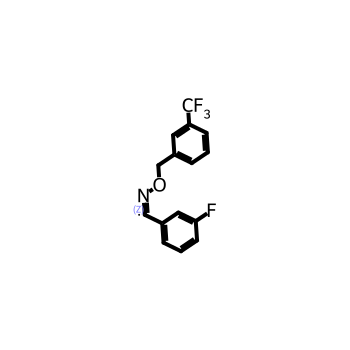 Fc1cccc(/[C]=N\OCc2cccc(C(F)(F)F)c2)c1